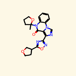 CC1(n2c(=O)c3c(-c4noc(C5CCOC5)n4)ncn3c3ccccc32)CCCO1